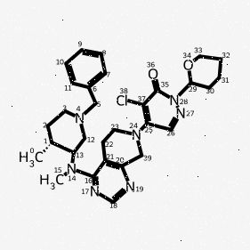 C[C@@H]1CCN(Cc2ccccc2)CC1N(C)c1ncnc2c1CCN(c1cnn(C3CCCCO3)c(=O)c1Cl)C2